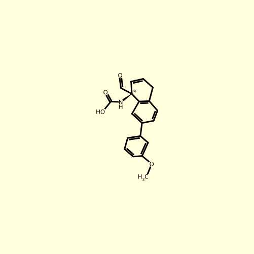 COc1cccc(-c2ccc3c(c2)[C@@](C=O)(NC(=O)O)C=CC3)c1